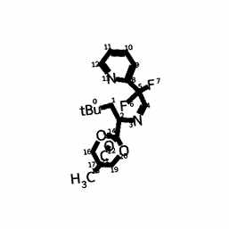 CC(C)(C)CC(/N=C\C(F)(F)c1ccccn1)C12OCC(C)(CO1)CO2